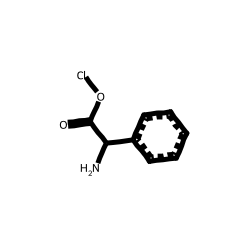 NC(C(=O)OCl)c1ccccc1